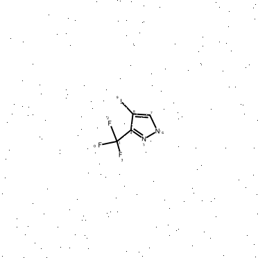 FC(F)(F)C1=N[N]C=C1I